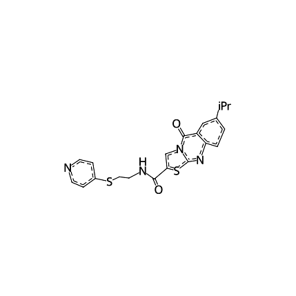 CC(C)c1ccc2nc3sc(C(=O)NCCSc4ccncc4)cn3c(=O)c2c1